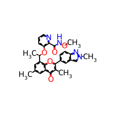 CONC(=O)c1ncccc1O[C@H](C)c1cc(C)cc2c(=O)c(C)c(-c3ccc4nn(C)cc4c3)oc12